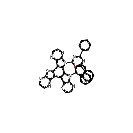 c1ccc(-c2nc(-c3ccccc3)nc(-n3c4nccnc4c4c5sc6nccnc6c5c5c6nccnc6n(-c6cccc7ccccc67)c5c43)n2)cc1